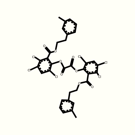 Cc1cccc(CCOC(=O)c2c(Cl)c(Cl)cc(Cl)c2OC(=O)C(=O)Oc2c(Cl)cc(Cl)c(Cl)c2C(=O)OCCc2cccc(C)c2)c1